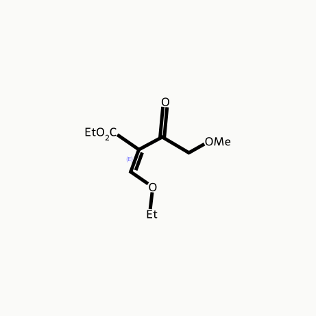 CCO/C=C(\C(=O)COC)C(=O)OCC